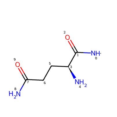 [NH]C(=O)[C@@H](N)CCC(N)=O